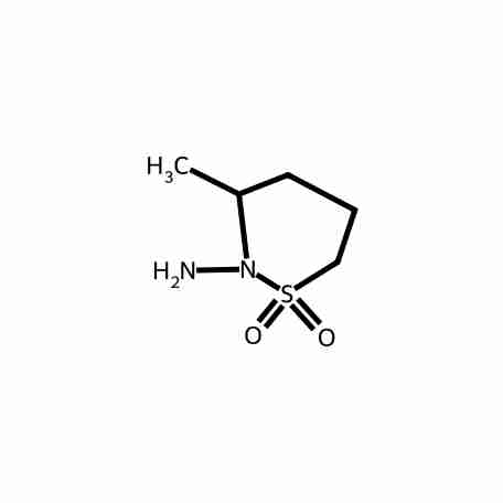 CC1CCCS(=O)(=O)N1N